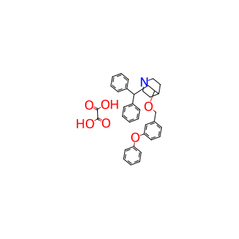 O=C(O)C(=O)O.c1ccc(Oc2cccc(COC3C4CCN(CC4)C3C(c3ccccc3)c3ccccc3)c2)cc1